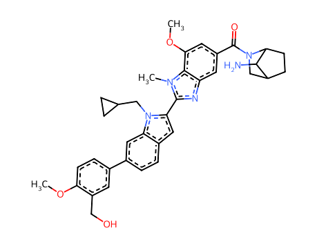 COc1ccc(-c2ccc3cc(-c4nc5cc(C(=O)N6CC7CCC6C7N)cc(OC)c5n4C)n(CC4CC4)c3c2)cc1CO